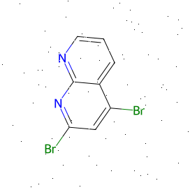 Brc1cc(Br)c2cccnc2n1